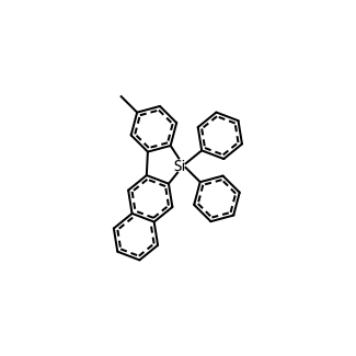 Cc1ccc2c(c1)-c1cc3ccccc3cc1[Si]2(c1ccccc1)c1ccccc1